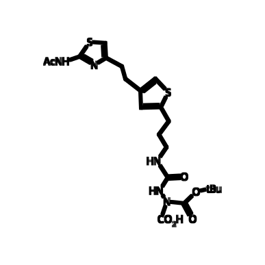 CC(=O)Nc1nc(CCc2csc(CCCNC(=O)NN(C(=O)O)C(=O)OC(C)(C)C)c2)cs1